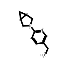 CCc1ccc(N2CC3CC3C2)nc1